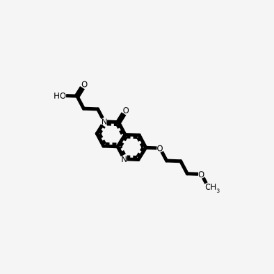 COCCCOc1cnc2ccn(CCC(=O)O)c(=O)c2c1